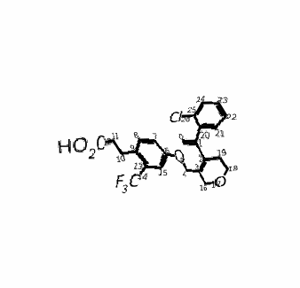 C=C(C1=C(COc2ccc(CCC(=O)O)c(C(F)(F)F)c2)COCC1)c1ccccc1Cl